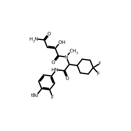 CN(C(=O)/C(O)=C/C(N)=O)C(C(=O)Nc1ccc(C(C)(C)C)c(F)c1)C1CCC(F)(F)CC1